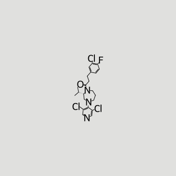 CC(C)[C@H]1CN(c2c(Cl)cncc2Cl)CCCN1C(=O)CCc1ccc(F)c(Cl)c1